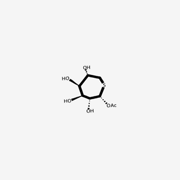 CC(=O)O[C@H]1SC[C@@H](O)[C@H](O)[C@H](O)[C@H]1O